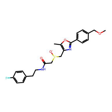 COCc1ccc(-c2nc(C[S+]([O-])CC(=O)NCCc3ccc(F)cc3)c(C)o2)cc1